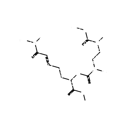 CN(C)C(=O)/C=C/CCC(OC(=O)N(C)CCN(C)C(=O)OC(C)(C)C)C(=O)OC(C)(C)C